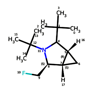 CC(C)(C)C1[C@@H]2C[C@@H]2[C@@H](CF)N1C(C)(C)C